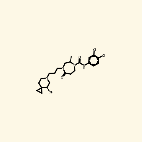 C[C@@H]1CN(CCCN2CCC3(CC3)[C@H](O)C2)C(=O)CCN1C(=O)Nc1ccc(Cl)c(Cl)c1